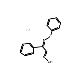 ON=CC(=NOc1ccccc1)c1ccccc1.[Co]